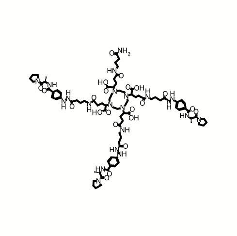 C[C@@H](NC(=O)c1ccc(NNC(=O)CCCNC(=O)CCC(C(=O)O)N2CCN(C(CCC(=O)NCCCC(N)=O)C(=O)O)CCN(C(CCC(=O)NCCCC(=O)NNc3ccc(C(=O)N[C@H](C)C(=O)N4CCCC4)cc3)C(=O)O)CCN(C(CCC(=O)NCCCC(=O)NNc3ccc(C(=O)N[C@H](C)C(=O)N4CCCC4)cc3)C(=O)O)CC2)cc1)C(=O)N1CCCC1